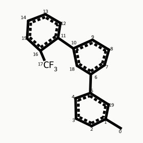 Cc1cccc(-c2cccc(-c3ccccc3C(F)(F)F)c2)c1